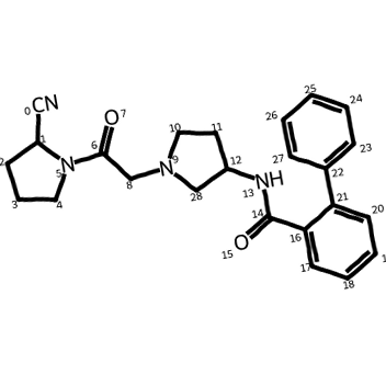 N#CC1CCCN1C(=O)CN1CCC(NC(=O)c2ccccc2-c2ccccc2)C1